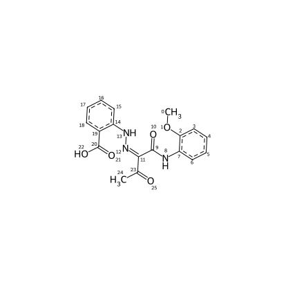 COc1ccccc1NC(=O)/C(=N\Nc1ccccc1C(=O)O)C(C)=O